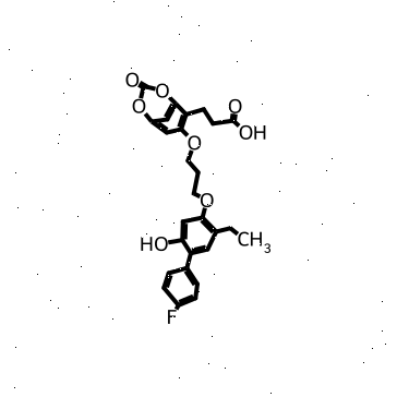 CCc1cc(-c2ccc(F)cc2)c(O)cc1OCCCOc1cc2cc(c1CCC(=O)O)OC(=O)O2